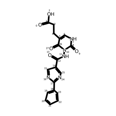 O=C(O)CCc1c[nH]c(=O)n(NC(=O)c2cnc(-c3ccccc3)nc2)c1=O